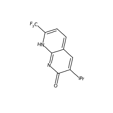 CC(C)c1cc2ccc(C(F)(F)F)[nH]c-2nc1=O